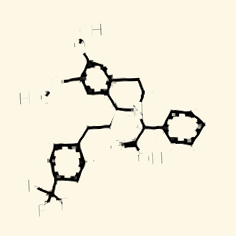 COc1cc2c(cc1OC)[C@H](CCc1ccc(C(F)(F)F)cc1)N(C(C(=O)O)c1ccccc1)CC2